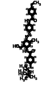 CCc1ccc(C(=O)Nc2ccc(/N=N/c3cc(CO)c(NC(=O)c4ccc(C[N+](C)(C)B[N+](C)(C)C)cc4)cc3C)cc2)cc1